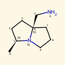 C[C@H]1CC[C@]2(CN)CCCN12